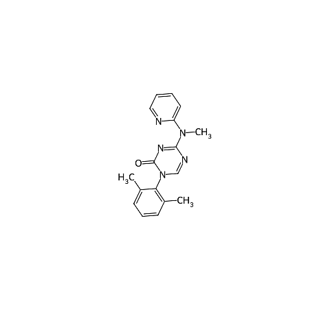 Cc1cccc(C)c1-n1cnc(N(C)c2ccccn2)nc1=O